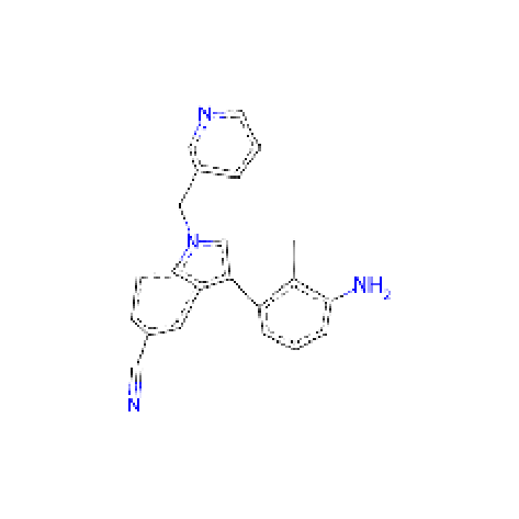 Cc1c(N)cccc1-c1cn(Cc2cccnc2)c2ccc(C#N)cc12